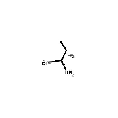 Br.CCC(N)Br